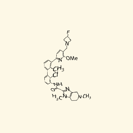 COc1nc(-c2cccc(-c3cccc(NC(=O)c4nc5c(n4C)CCN(C)C5)c3Cl)c2C)ccc1CN1CC(F)C1